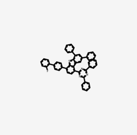 Fc1ccccc1-c1ccc(-c2ccc(-c3nc(-c4ccccc4)nc(-c4ccccc4)n3)c3c2sc2c(-c4ccccc4)cc(-c4ccccc4)cc23)cc1